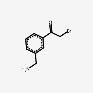 NCc1cccc(C(=O)CBr)c1